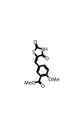 COC(=O)c1cc(/C=C2/SC(=O)NC2=O)ccc1OC